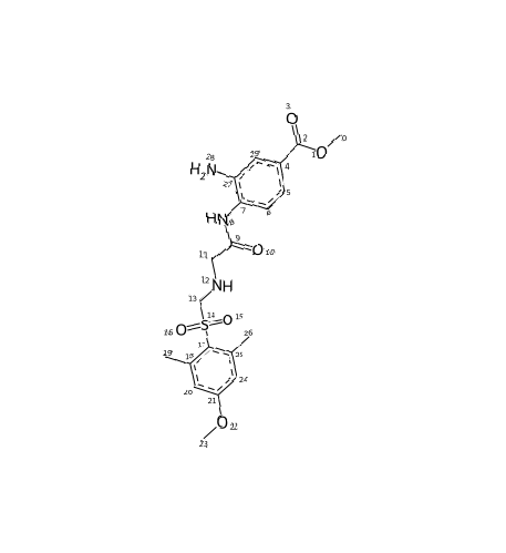 COC(=O)c1ccc(NC(=O)CNCS(=O)(=O)c2c(C)cc(OC)cc2C)c(N)c1